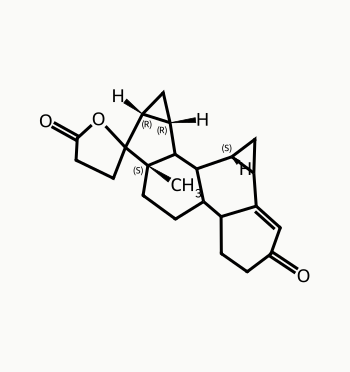 C[C@]12CCC3C4CCC(=O)C=C4C4C[C@H]4C3C1[C@H]1C[C@H]1C21CCC(=O)O1